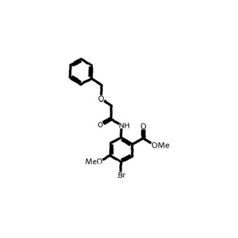 COC(=O)c1cc(Br)c(OC)cc1NC(=O)COCc1ccccc1